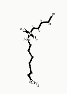 CCCCCCCNS(=O)(=O)CCCCI